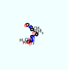 Cc1cccc(-c2cccc(-n3ncc(C(=O)O)c3OC(C)C)n2)c1OCc1ccc2c(c1C)CCN([C@H]1CCCOC1)C2